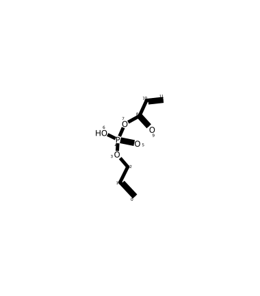 C=CCOP(=O)(O)OC(=O)C=C